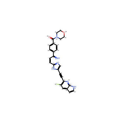 N=C(/C=C\c1ncc(C#Cc2nc3[nH]ccc3cc2F)[nH]1)c1ccc(C(=O)N2CCOCC2)cc1